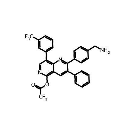 NCc1ccc(-c2nc3c(-c4cccc(C(F)(F)F)c4)cnc(OC(=O)C(F)(F)F)c3cc2-c2ccccc2)cc1